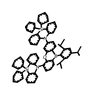 CC(C)c1cc(C(C)C)c(B2c3ccc(N4c5ccccc5[Si](c5ccccc5)(c5ccccc5)c5ccccc54)cc3Oc3c2cccc3N2c3ccccc3[Si](c3ccccc3)(c3ccccc3)c3ccccc32)c(C(C)C)c1